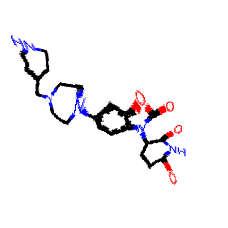 O=C1CCC(n2c(=O)oc3cc(N4CCN(CC5CCNCC5)CC4)ccc32)C(=O)N1